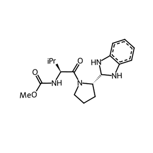 COC(=O)N[C@H](C(=O)N1CCC[C@H]1C1Nc2ccccc2N1)C(C)C